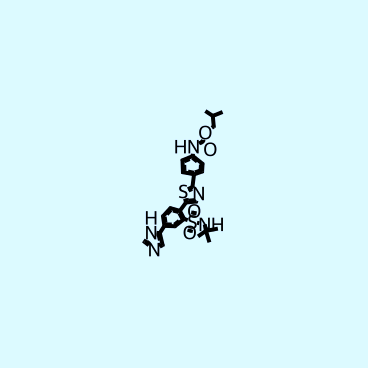 CC(C)COC(=O)Nc1ccc(-c2ncc(-c3ccc(-c4cnc[nH]4)cc3S(=O)(=O)NC(C)(C)C)s2)cc1